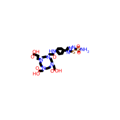 NS(=O)(=O)c1nn2cc(-c3ccc(NC(=O)CN4CCN(CCC(=O)O)CCN(CC(=O)O)CCN(CC(=O)O)CC4)cc3)nc2s1